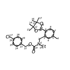 CCN(Cc1cc(C)ccc1B1OC(C)(C)C(C)(C)O1)C(=O)OCc1ccc(Cl)cc1